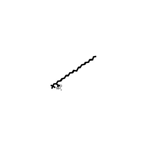 CC/C=C/C/C=C/C/C=C/C/C=C/C/C=C/C/C=C/CC(CC(C)(C)C)C(N)=O